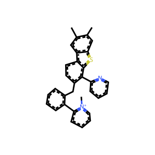 Cc1cc2sc3c(-c4ccccn4)c(Cc4ccccc4-c4cccc[n+]4C)ccc3c2cc1C